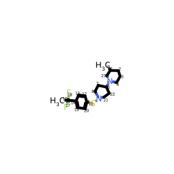 CC1CCCN(C2CCN(Sc3ccc(C(C)(F)F)cc3)CC2)C1